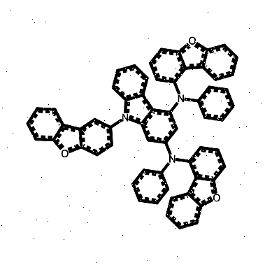 c1ccc(N(c2cc(N(c3ccccc3)c3cccc4oc5ccccc5c34)c3c4ccccc4n(-c4ccc5oc6ccccc6c5c4)c3c2)c2cccc3oc4ccccc4c23)cc1